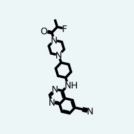 CC(F)C(=O)N1CCN(C2CCC(Nc3ncnc4ccc(C#N)cc34)CC2)CC1